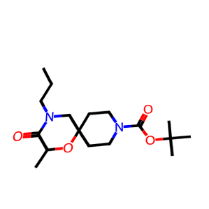 CCCN1CC2(CCN(C(=O)OC(C)(C)C)CC2)OC(C)C1=O